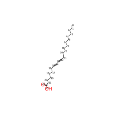 CCCCCCCCCCCCC#CC#CCCCCCCC(=O)O